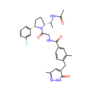 CC(=O)NC(C)[C@H]1CC[C@@H](c2cccc(F)c2)N1C(=O)CNC(=O)c1ccc(Cc2cc(C)n[nH]c2=O)c(C)c1